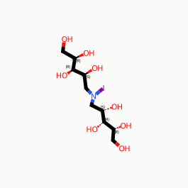 OC[C@@H](O)[C@H](O)[C@@H](O)CN(I)C[C@H](O)[C@@H](O)[C@H](O)CO